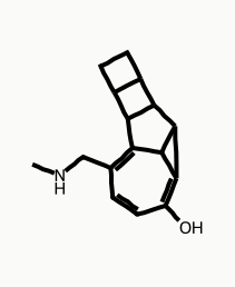 CNCC1=C2C3C(=C(O)C=C1)C3C1C3CCC3C21